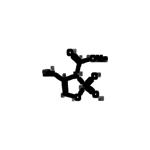 COC(=O)N1C(C(C)(C)C)=COS1(=O)=O